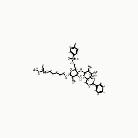 Cc1ccc(S(=O)(=O)OCC2O[C@@H](OCCCCCNC(=O)OC(C)(C)C)C(O)[C@@H](O)[C@@H]2O[C@@H]2OC3COC(c4ccccc4)O[C@@H]3[C@H](O)C2O)cc1